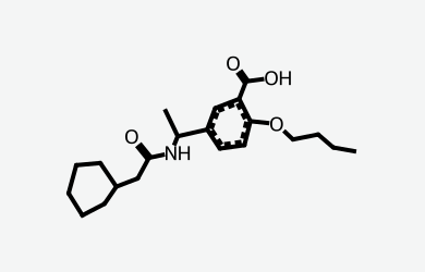 CCCCOc1ccc(C(C)NC(=O)CC2CCCCC2)cc1C(=O)O